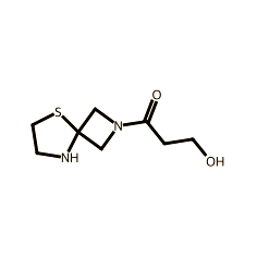 O=C(CCO)N1CC2(C1)NCCS2